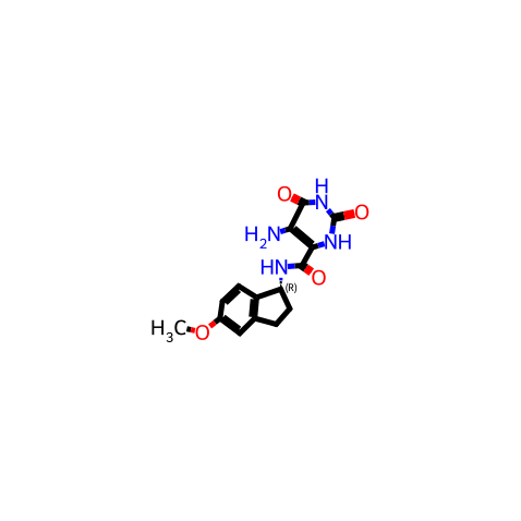 COc1ccc2c(c1)CC[C@H]2NC(=O)c1[nH]c(=O)[nH]c(=O)c1N